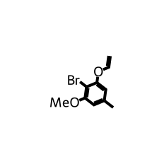 C=COc1cc(C)cc(OC)c1Br